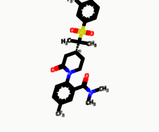 CN(C)C(=O)c1cc(C(F)(F)F)ccc1N1CC[C@@H](C(C)(C)S(=O)(=O)c2cccc(C(F)(F)F)c2)CC1=O